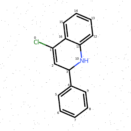 ClC1=CC(c2ccccc2)Nc2ccccc21